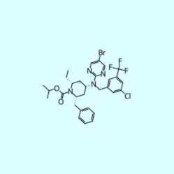 CC[C@@H]1C[C@H](N(Cc2cc(Cl)cc(C(F)(F)F)c2)c2ncc(Br)cn2)C[C@H](Cc2ccccc2)N1C(=O)OC(C)C